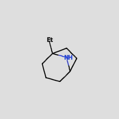 CCC12CCCC(CC1)N2